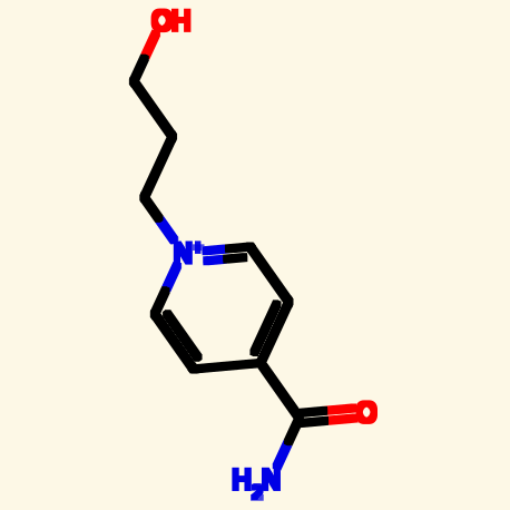 NC(=O)c1cc[n+](CCCO)cc1